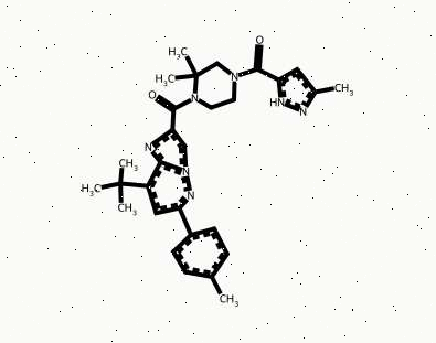 Cc1ccc(-c2cc(C(C)(C)C)c3nc(C(=O)N4CCN(C(=O)c5cc(C)n[nH]5)CC4(C)C)cn3n2)cc1